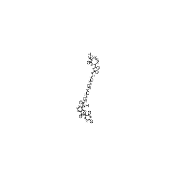 NC1CSSCC(C(=O)CC(=O)CCCOCCOCCOCCOCC(=O)Nc2cccc3c2CN(C2CCC(=O)CC2=O)C3=O)CC1=O